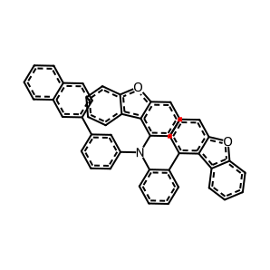 c1cc(-c2ccc3ccccc3c2)cc(N(c2ccccc2-c2cccc3oc4ccccc4c23)c2cccc3oc4ccccc4c23)c1